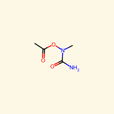 CC(=O)ON(C)C(N)=O